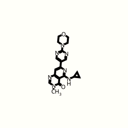 Cn1cnc2cc(-c3cnc(N4CCOCC4)nc3)nc(NC3CC3)c2c1=O